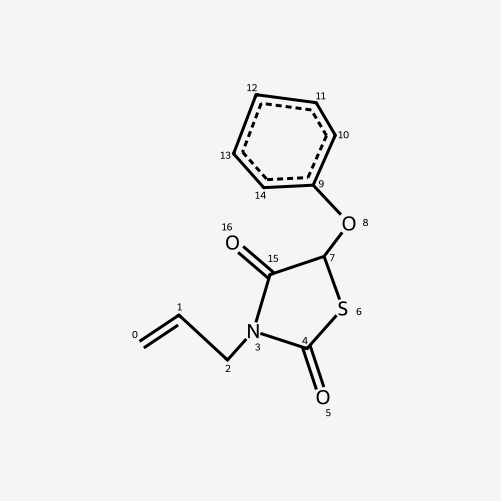 C=CCN1C(=O)SC(Oc2ccccc2)C1=O